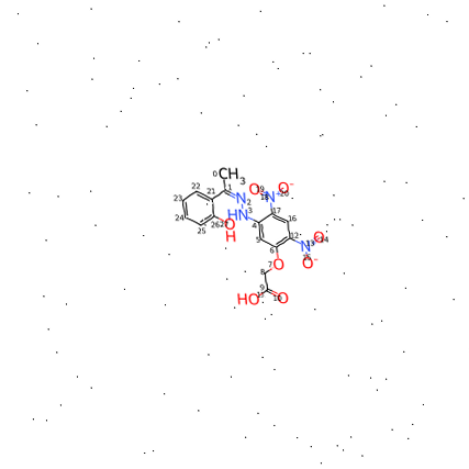 CC(=NNc1cc(OCC(=O)O)c([N+](=O)[O-])cc1[N+](=O)[O-])c1ccccc1O